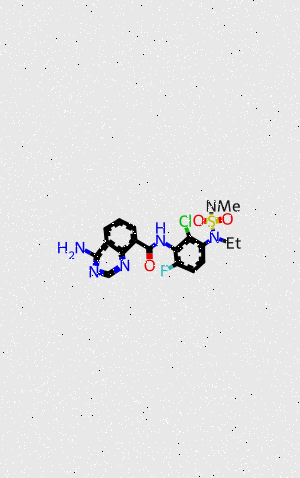 CCN(c1ccc(F)c(NC(=O)c2cccc3c(N)ncnc23)c1Cl)S(=O)(=O)NC